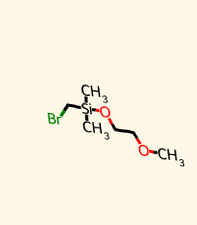 COCCO[Si](C)(C)CBr